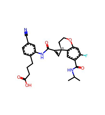 CC(C)NC(=O)c1cc2c(cc1F)OCC[C@]21C=C1C(=O)Nc1cc(C#N)ccc1CCCC(=O)O